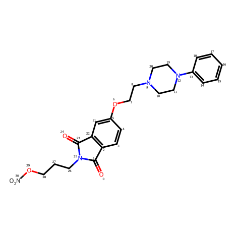 O=C1c2ccc(OCCN3CCN(c4ccccc4)CC3)cc2C(=O)N1CCCO[N+](=O)[O-]